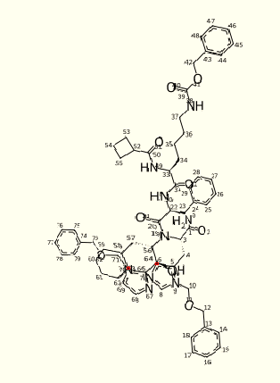 NC(=O)[C@H](Cc1cncn1COCc1ccccc1)N(C(=O)[C@H](Cc1ccccc1)NC(=O)[C@H](CCCCNC(=O)OCc1ccccc1)NC(=O)C1CCC1)[C@@H](CC1CCCCC1)[C@@H](O)c1nccn1COCc1ccccc1